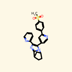 CS(=O)(=O)c1ccc(-c2cc(-c3c(-c4ccccn4)nc4n3C3CCC4C3)ccn2)cc1